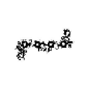 CS(=O)(=O)c1ccc(C(=O)Nc2ccc(/C=C/c3ccc(NC(=O)c4ccc(S(C)(=O)=O)c(S(=O)(=O)N5CCOCC5)c4)cc3S(=O)(=O)O)c(S(=O)(=O)O)c2)cc1S(=O)(=O)N1CCOCC1